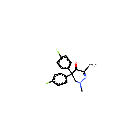 CCOC(=O)C1=NN(C)CC(c2ccc(F)cc2)(c2ccc(F)cc2)C1=O